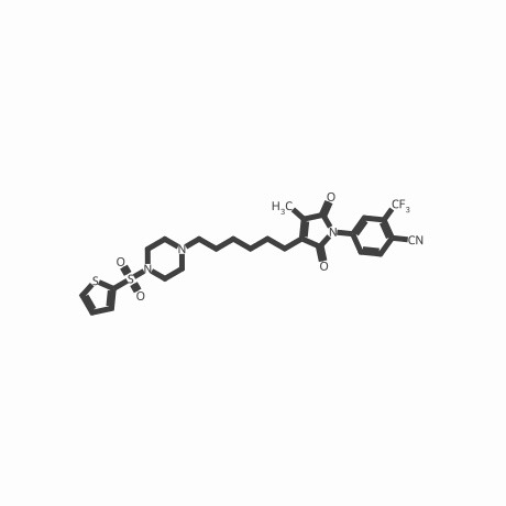 CC1=C(CCCCCCN2CCN(S(=O)(=O)c3cccs3)CC2)C(=O)N(c2ccc(C#N)c(C(F)(F)F)c2)C1=O